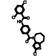 O=C(Nc1ccc(C(=O)N2CCCCc3sc(Cl)cc32)cc1)c1cc(Cl)ccc1Cl